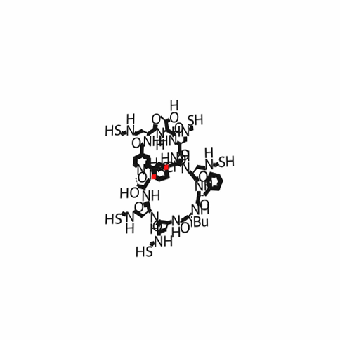 CC[C@H](C)[C@@H]1NC(=O)[C@@H](Cc2ccccc2)NC(=O)[C@H](CCNCS)NC(=O)[C@@H](NC(=O)[C@H](CNCS)NC(=O)[C@@H](NC(=O)[C@H](CCNCS)NC(=O)c2ccnc(-c3cccc(Cl)c3)c2)[C@@H](C)O)CCNC(=O)[C@H]([C@@H](C)O)NC(=O)[C@H](CCNCS)NC(=O)[C@H](CCNCS)NC1=O